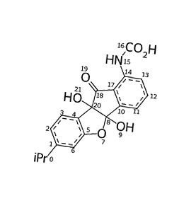 CC(C)c1ccc2c(c1)OC1(O)c3cccc(NC(=O)O)c3C(=O)C21O